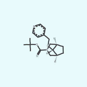 CC(C)(C)OC(=O)N1C[C@H]2CC[C@@H](C1)[C@@H]2OCc1ccncc1